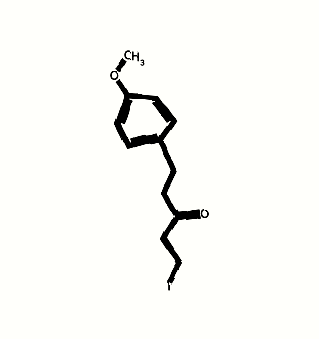 COc1ccc(CCC(=O)CCI)cc1